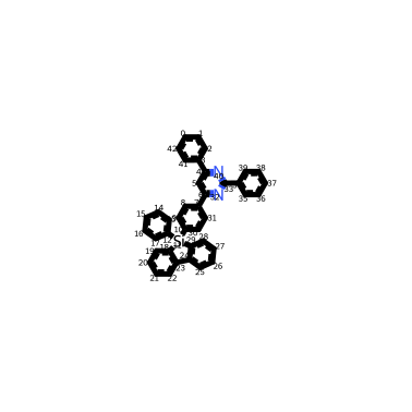 c1ccc(-c2cc(-c3ccc([Si]4(c5ccccc5)c5ccccc5-c5ccccc54)cc3)nc(-c3ccccc3)n2)cc1